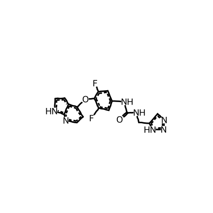 O=C(NCc1cnn[nH]1)Nc1cc(F)c(Oc2ccnc3[nH]ccc23)c(F)c1